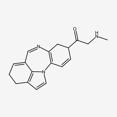 CNCC(=O)C1C=CC2=C(C1)N=CC1=CCCc3ccn2c31